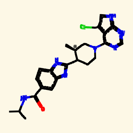 CC(C)NC(=O)c1ccc2[nH]c(C3CCN(c4ncnc5[nH]cc(Cl)c45)C[C@@H]3C)nc2c1